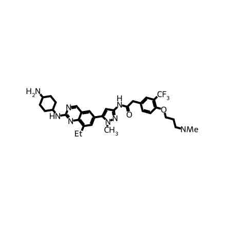 CCc1cc(-c2cc(NC(=O)Cc3ccc(OCCCNC)c(C(F)(F)F)c3)nn2C)cc2cnc(NC3CCC(N)CC3)nc12